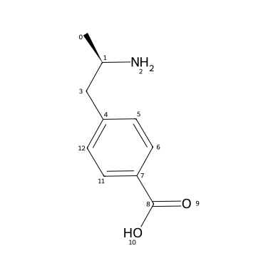 C[C@@H](N)Cc1ccc(C(=O)O)cc1